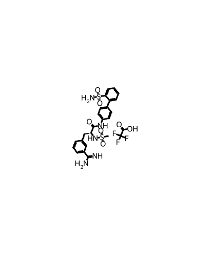 CS(=O)(=O)N[C@@H](Cc1cccc(C(=N)N)c1)C(=O)Nc1ccc(-c2ccccc2S(N)(=O)=O)cc1.O=C(O)C(F)(F)F